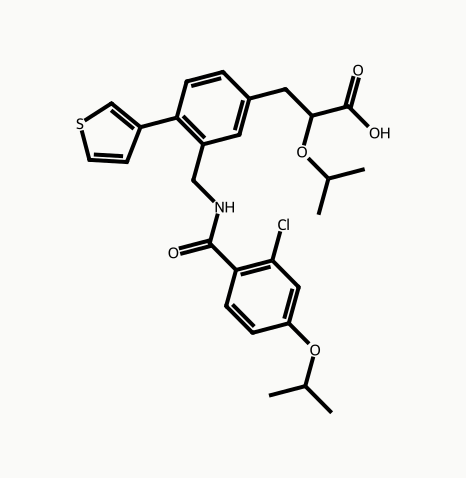 CC(C)Oc1ccc(C(=O)NCc2cc(CC(OC(C)C)C(=O)O)ccc2-c2ccsc2)c(Cl)c1